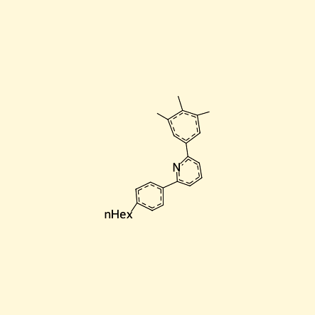 CCCCCCc1ccc(-c2cccc(-c3cc(C)c(C)c(C)c3)n2)cc1